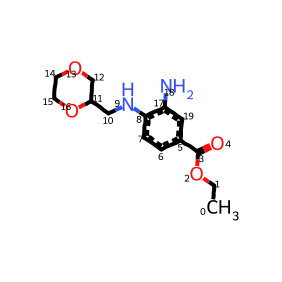 CCOC(=O)c1ccc(NCC2COCCO2)c(N)c1